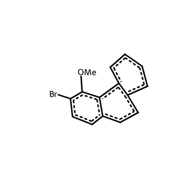 COc1c(Br)ccc2ccc3ccccc3c12